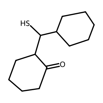 O=C1CCCCC1C(S)C1CCCCC1